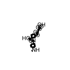 CNc1ccc(N=Nc2cc(S(=O)(=O)CCOS(=O)(=O)O)ccc2C(=O)O)cc1